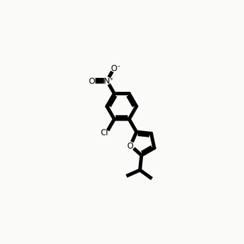 CC(C)c1ccc(-c2ccc([N+](=O)[O-])cc2Cl)o1